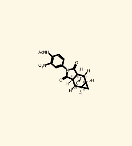 CC(=O)Nc1ccc(N2C(=O)[C@@H]3[C@@H]4CC[C@@H]([C@H]5C[C@H]54)[C@@H]3C2=O)cc1[N+](=O)[O-]